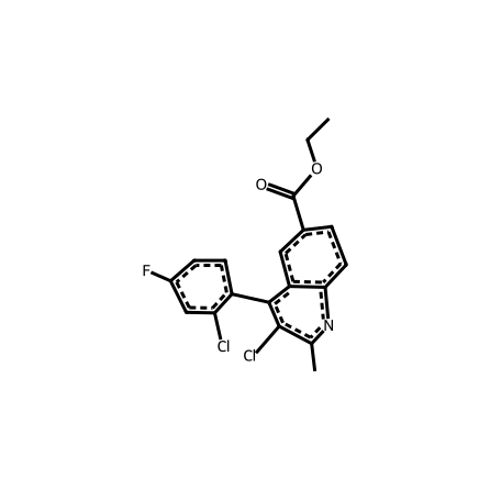 CCOC(=O)c1ccc2nc(C)c(Cl)c(-c3ccc(F)cc3Cl)c2c1